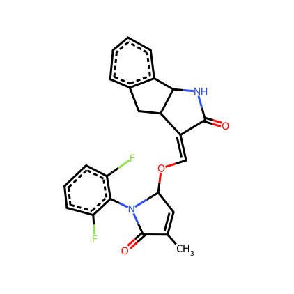 CC1=CC(O/C=C2/C(=O)NC3c4ccccc4CC23)N(c2c(F)cccc2F)C1=O